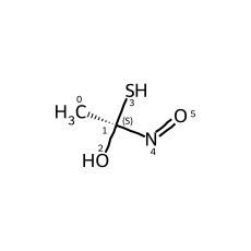 C[C@](O)(S)N=O